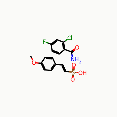 COc1ccc(/C=C/S(=O)(=O)O)cc1.NC(=O)c1ccc(F)cc1Cl